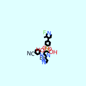 CCN(c1cccc(C#N)c1)c1c(-c2ccn(C)n2)nc(O)c(S(=O)(=O)c2ccc(-c3ccnc(F)c3C)cc2)c1O